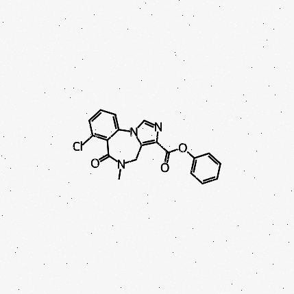 CN1Cc2c(C(=O)Oc3ccccc3)ncn2-c2cccc(Cl)c2C1=O